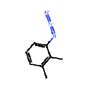 Cc1cccc(N=[N+]=[N-])c1C